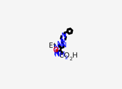 CCNc1nc(N2CCN(Cc3ccccc3)CC2)ncc1C(CC(=O)O)C(N)=O